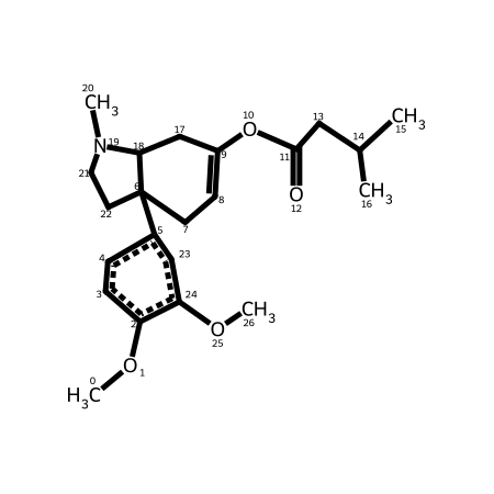 COc1ccc(C23CC=C(OC(=O)CC(C)C)CC2N(C)CC3)cc1OC